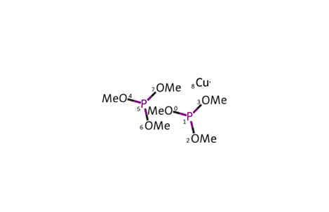 COP(OC)OC.COP(OC)OC.[Cu]